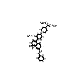 COc1cc(N2CCC(C(OC)OC)CC2)ccc1C1=CCC(F)(F)c2cc(OCc3ccccc3)ccc21